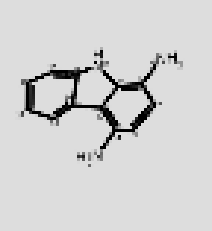 Nc1ccc(N)c2c1[nH]c1ccccc12